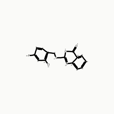 O=c1oc(SCc2ccc(F)cc2Cl)nc2ccccc12